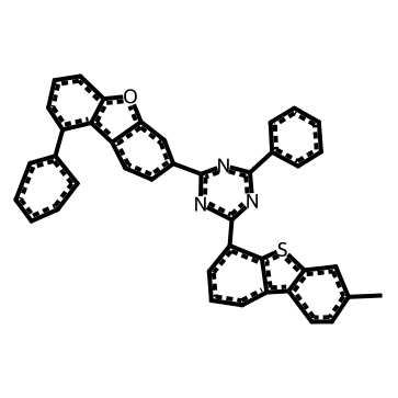 Cc1ccc2c(c1)sc1c(-c3nc(-c4ccccc4)nc(-c4ccc5c(c4)oc4cccc(-c6ccccc6)c45)n3)cccc12